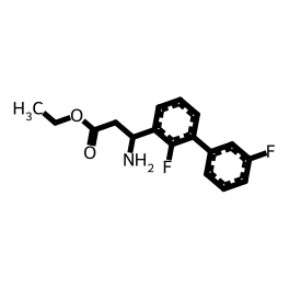 CCOC(=O)CC(N)c1cccc(-c2cccc(F)c2)c1F